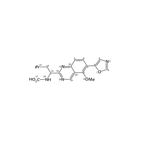 COc1c(-c2cnco2)ccc2nc(C(CC(C)C)NC(=O)O)ncc12